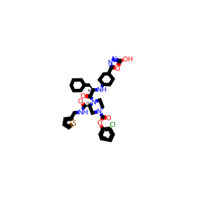 O=C(NCc1cccs1)[C@@H]1CN(C(=O)Oc2ccccc2Cl)CCN1C(=O)[C@@H](CC1CCCCC1)NC1CCC(c2nnc(O)o2)CC1